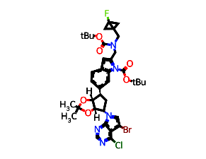 CC(C)(C)OC(=O)N(Cc1cc2ccc([C@H]3C[C@@H](n4cc(Br)c5c(Cl)ncnc54)[C@@H]4OC(C)(C)O[C@@H]43)cc2n1C(=O)OC(C)(C)C)CC12CC1(F)C2